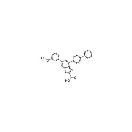 COc1cccc(-c2cc(-c3ccc(-c4ccccc4)cc3)n3nc(C(=O)O)cc3n2)c1